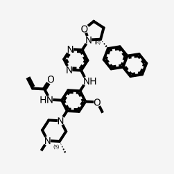 C=CC(=O)Nc1cc(Nc2cc(N3OCC[C@@H]3c3ccc4ccccc4c3)ncn2)c(OC)cc1N1CCN(C)[C@@H](C)C1